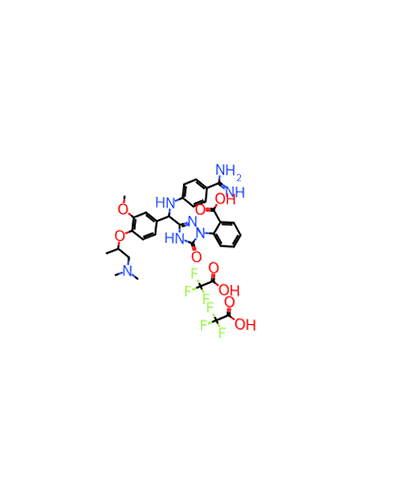 COc1cc(C(Nc2ccc(C(=N)N)cc2)c2nn(-c3ccccc3C(=O)O)c(=O)[nH]2)ccc1OC(C)CN(C)C.O=C(O)C(F)(F)F.O=C(O)C(F)(F)F